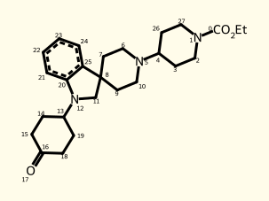 CCOC(=O)N1CCC(N2CCC3(CC2)CN(C2CCC(=O)CC2)c2ccccc23)CC1